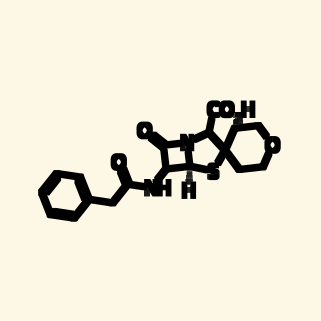 O=C(Cc1ccccc1)NC1C(=O)N2C(C(=O)O)C3(CCOCC3)S[C@@H]12